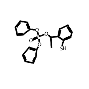 CC(OP(=O)(Oc1ccccc1)Oc1ccccc1)c1ccccc1S